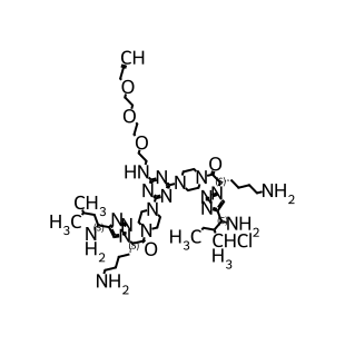 C#CCOCCOCCOCCNc1nc(N2CCN(C(=O)[C@H](CCCCN)n3cc([C@@H](N)C(C)CC)nn3)CC2)nc(N2CCN(C(=O)[C@H](CCCCN)n3cc([C@@H](N)CC(C)C)nn3)CC2)n1.Cl